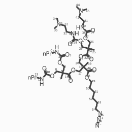 CCCNC(=O)OCC(C)(COC(=O)NCCC)C(=O)OCC(C)(COC(=O)C(C)(COC(=O)NCCN(C)C)COC(=O)NCCN(C)C)C(=O)OCCCCCCN=[N+]=[N-]